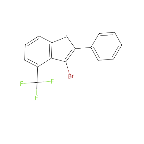 FC(F)(F)c1cccc2c1C(Br)=C(c1ccccc1)[CH]2